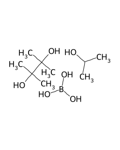 CC(C)(O)C(C)(C)O.CC(C)O.OB(O)O